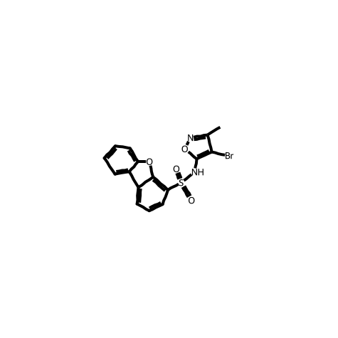 Cc1noc(NS(=O)(=O)c2cccc3c2oc2ccccc23)c1Br